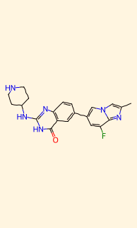 Cc1cn2cc(-c3ccc4nc(NC5CCNCC5)[nH]c(=O)c4c3)cc(F)c2n1